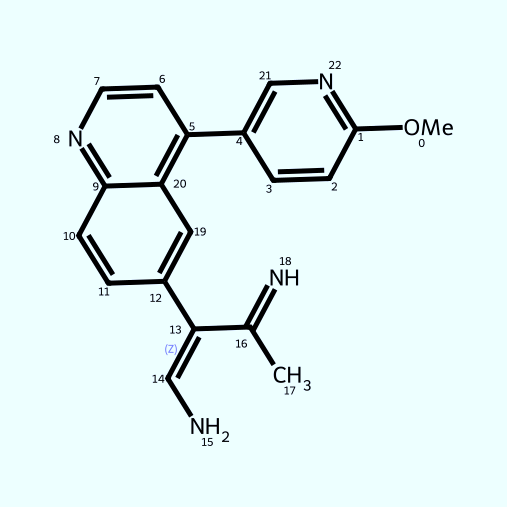 COc1ccc(-c2ccnc3ccc(/C(=C/N)C(C)=N)cc23)cn1